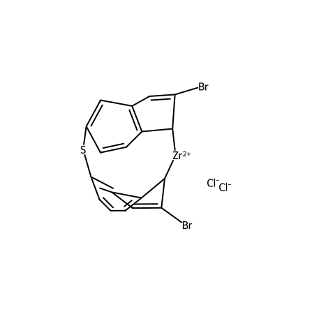 BrC1=Cc2cc3ccc2[CH]1[Zr+2][CH]1C(Br)=Cc2c(cccc21)S3.[Cl-].[Cl-]